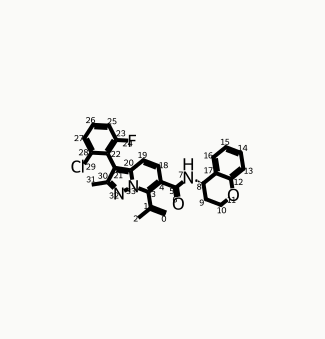 C=C(C)c1c(C(=O)N[C@H]2CCOc3ccccc32)ccc2c(-c3c(F)cccc3Cl)c(C)nn12